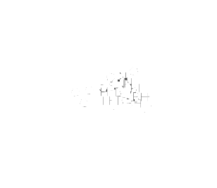 Bc1c(B)c(B)c(-c2nc(-c3ccccc3)nc(-c3cccc4c3sc3ccc(-c5ccc6c7ccccc7c7ccccc7c6c5)cc34)n2)c(B)c1B